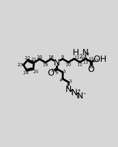 [N-]=[N+]=NCCCC(=O)N(CCCC[C@H](N)C(=O)O)CCCC1=CCC=C1